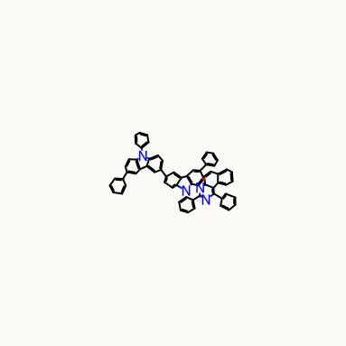 c1ccc(-c2ccc3c(c2)c2cc(-c4ccc5c(c4)c4cc(-c6ccccc6)ccc4n5-c4ccccc4-c4nc(-c5ccccc5)c5c(ccc6ccccc65)n4)ccc2n3-c2ccccc2)cc1